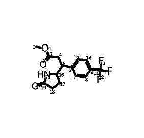 COC(=O)CC(c1ccc(C(F)(F)F)cc1)C1CCC(=O)N1